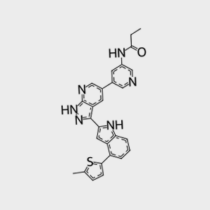 CCC(=O)Nc1cncc(-c2cnc3[nH]nc(-c4cc5c(-c6ccc(C)s6)cccc5[nH]4)c3c2)c1